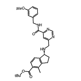 COc1cccc(CNC(=O)c2cc(CN[C@H]3CCc4c3ccc(C(=O)OC(C)(C)C)c4C)ncn2)c1